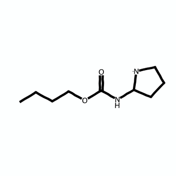 CCCCOC(=O)NC1CCC[N]1